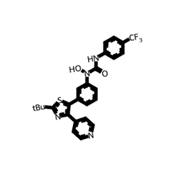 CC(C)(C)c1nc(-c2ccncc2)c(-c2cccc(N(O)C(=O)Nc3ccc(C(F)(F)F)cc3)c2)s1